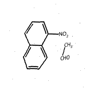 CC=O.O=[N+]([O-])c1cccc2ccccc12